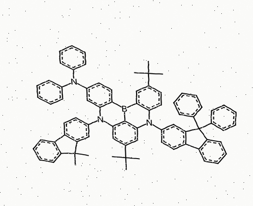 CC(C)(C)c1ccc2c(c1)B1c3ccc(N(c4ccccc4)c4ccccc4)cc3N(c3ccc4c(c3)C(C)(C)c3ccccc3-4)c3cc(C(C)(C)C)cc(c31)N2c1ccc2c(c1)C(c1ccccc1)(c1ccccc1)c1ccccc1-2